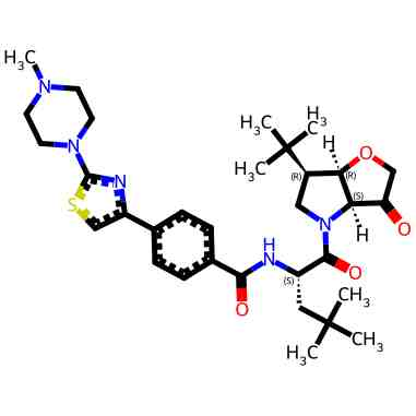 CN1CCN(c2nc(-c3ccc(C(=O)N[C@@H](CC(C)(C)C)C(=O)N4C[C@@H](C(C)(C)C)[C@H]5OCC(=O)[C@H]54)cc3)cs2)CC1